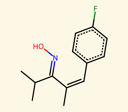 CC(=Cc1ccc(F)cc1)C(=NO)C(C)C